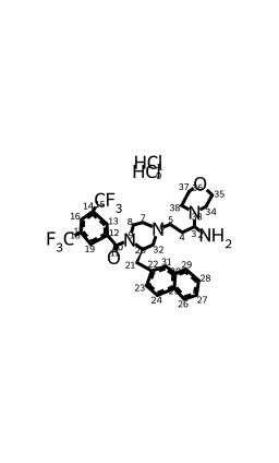 Cl.Cl.NC(CCN1CCN(C(=O)c2cc(C(F)(F)F)cc(C(F)(F)F)c2)[C@H](Cc2ccc3ccccc3c2)C1)N1CCOCC1